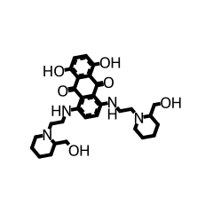 O=C1c2c(O)ccc(O)c2C(=O)c2c(NCCN3CCCCC3CO)ccc(NCCN3CCCCC3CO)c21